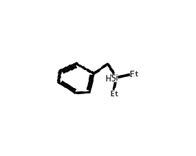 CC[SiH](CC)Cc1ccccc1